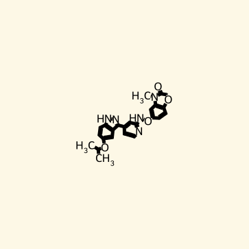 CC(C)Oc1ccc2[nH]nc(-c3ccnc(NOc4ccc5c(c4)N(C)C(=O)CO5)c3)c2c1